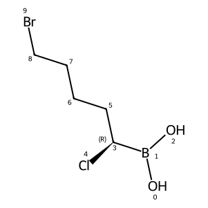 OB(O)[C@@H](Cl)CCCCBr